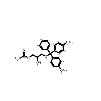 COc1ccc(C(OCC(O)COC(N)=O)(c2ccccc2)c2ccc(OC)cc2)cc1